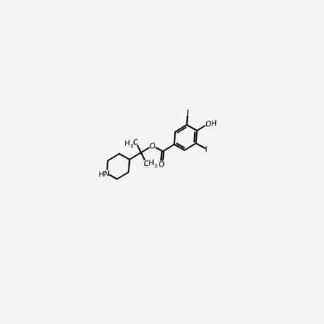 CC(C)(OC(=O)c1cc(I)c(O)c(I)c1)C1CCNCC1